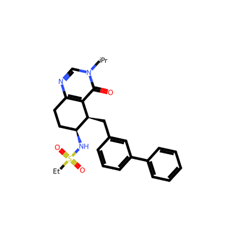 CCS(=O)(=O)N[C@H]1CCc2ncn(C(C)C)c(=O)c2[C@H]1Cc1cccc(-c2ccccc2)c1